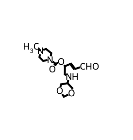 CN1CCN(C(=O)OC(C=CC=O)CNC2COCOC2)CC1